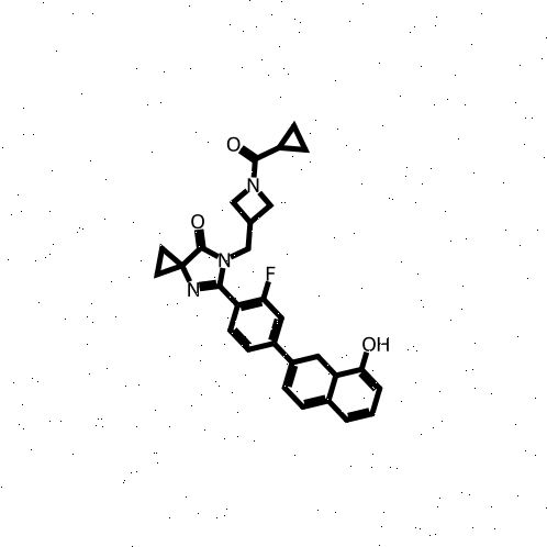 O=C(C1CC1)N1CC(CN2C(=O)C3(CC3)N=C2c2ccc(C3=CC=C4C=CC=C(O)C4C3)cc2F)C1